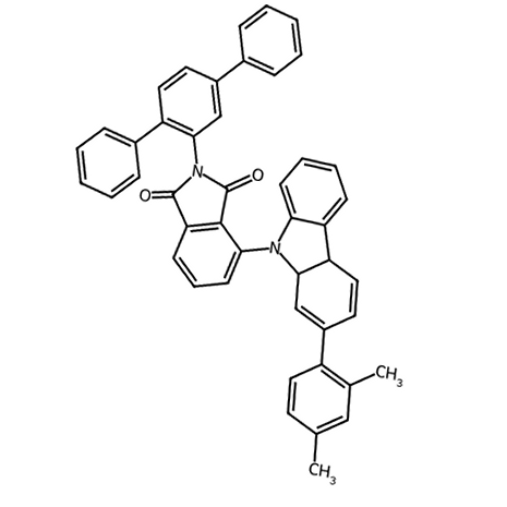 Cc1ccc(C2=CC3C(C=C2)c2ccccc2N3c2cccc3c2C(=O)N(c2cc(-c4ccccc4)ccc2-c2ccccc2)C3=O)c(C)c1